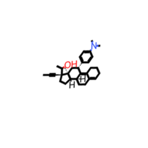 CC#C[C@]1(C(C)O)CC[C@H]2[C@@H]3CCC4=CCCCC4=C3[C@@H](c3ccc(N(C)C)cc3)C[C@@]21C